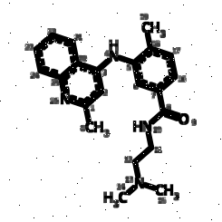 Cc1cc(Nc2cc(C(=O)NCCN(C)C)ccc2C)c2ccccc2n1